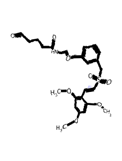 COc1cc(OC)c(/C=C/S(=O)(=O)Cc2cccc(OCNC(=O)CCCC=O)c2)c(OC)c1